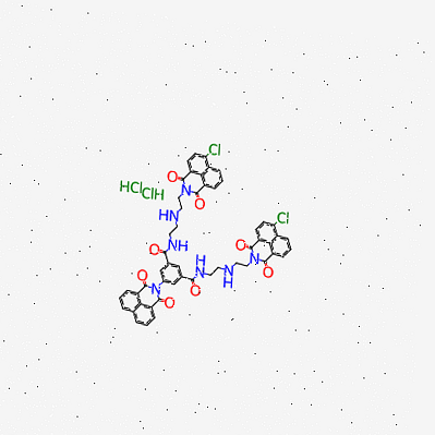 Cl.Cl.O=C(NCCNCCN1C(=O)c2cccc3c(Cl)ccc(c23)C1=O)c1cc(C(=O)NCCNCCN2C(=O)c3cccc4c(Cl)ccc(c34)C2=O)cc(N2C(=O)c3cccc4cccc(c34)C2=O)c1